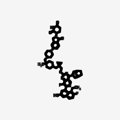 CCc1c(F)ccc2cc(O)cc(-c3ncc4c(N5CC6CCC(C5)N6)nc(OCC5(CN6CCC(C)(CN7CCN(c8ccc9c(c8)CN(C8CCC(=O)NC8=O)C9=O)CC7)CC6)CC5)nc4c3F)c12